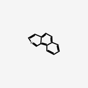 [c]1cccc2c1ccc1ccncc12